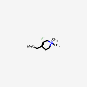 COCC1=CC[N+](C)(C)CC1.[Br-]